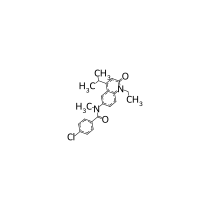 CCn1c(=O)cc(C(C)C)c2cc(N(C)C(=O)c3ccc(Cl)cc3)ccc21